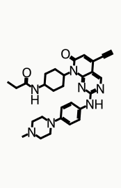 C#Cc1cc(=O)n(C2CCC(NC(=O)CC)CC2)c2nc(Nc3ccc(N4CCN(C)CC4)cc3)ncc12